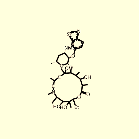 CCC1OC(=O)C(C)C(O)C(C)C(O[C@@H]2O[C@H](C)C[C@H](NC)[C@H]2Oc2ccc3ncsc3c2)C(C)(O)CC(C)CN(C)C(C)C(O)C1(C)O